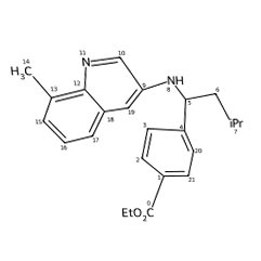 CCOC(=O)c1ccc(C(CC(C)C)Nc2cnc3c(C)cccc3c2)cc1